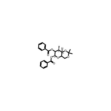 C[C@@H]1C(OC(=O)c2ccccc2)[C@H](OC(=O)c2ccccc2)OC2COC(C)(C)O[C@H]21